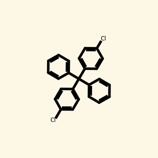 Clc1ccc(C(c2ccccc2)(c2ccccc2)c2ccc(Cl)cc2)cc1